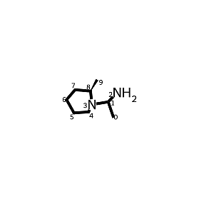 CC(N)N1CCCC[C@H]1C